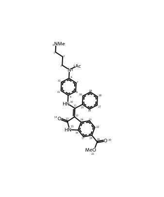 CNCCCN(C(C)=O)c1ccc(N/C(=C2\C(=O)Nc3cc(C(=O)OC)ccc32)c2ccccc2)cc1